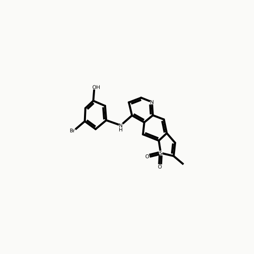 CC1=Cc2cc3nccc(Nc4cc(O)cc(Br)c4)c3cc2S1(=O)=O